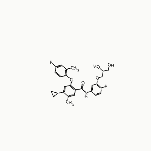 Cc1cc(F)ccc1Oc1cc(C2CC2)c(C)cc1C(=O)Nc1ccc(F)c(OCC(O)CO)c1